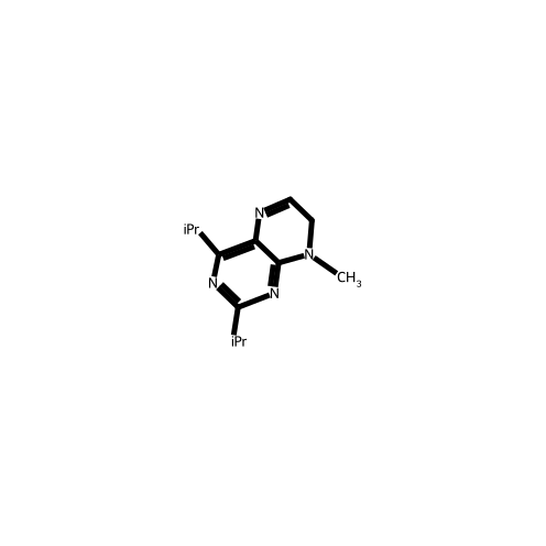 CC(C)c1nc(C(C)C)c2c(n1)N(C)CC=N2